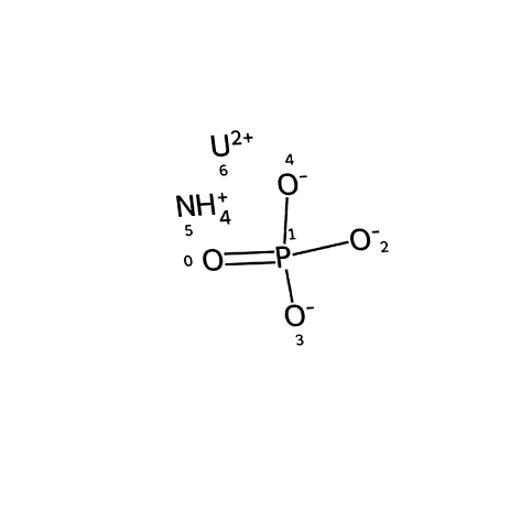 O=P([O-])([O-])[O-].[NH4+].[U+2]